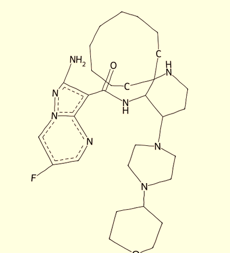 Nc1nn2cc(F)cnc2c1C(=O)NC1C(N2CCN(C3CCOCC3)CC2)CCNC12CCCCCCCCC2